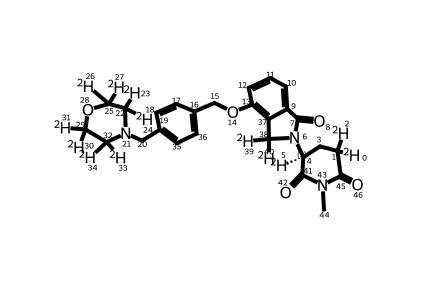 [2H]C1([2H])C[C@]([2H])(N2C(=O)c3cccc(OCc4ccc(CN5C([2H])([2H])C([2H])([2H])OC([2H])([2H])C5([2H])[2H])cc4)c3C2([2H])[2H])C(=O)N(C)C1=O